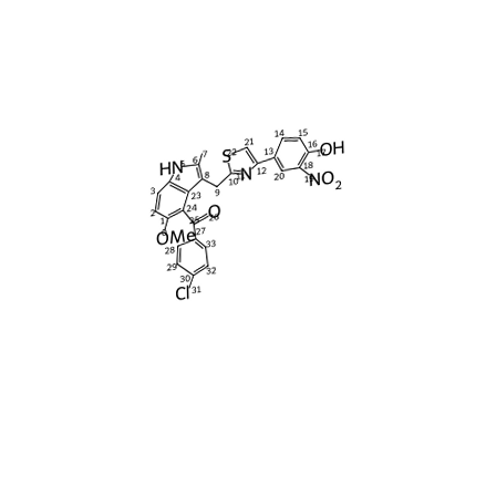 COc1ccc2[nH]c(C)c(Cc3nc(-c4ccc(O)c([N+](=O)[O-])c4)cs3)c2c1C(=O)c1ccc(Cl)cc1